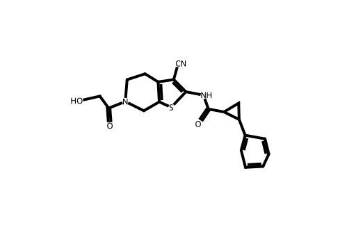 N#Cc1c(NC(=O)C2CC2c2ccccc2)sc2c1CCN(C(=O)CO)C2